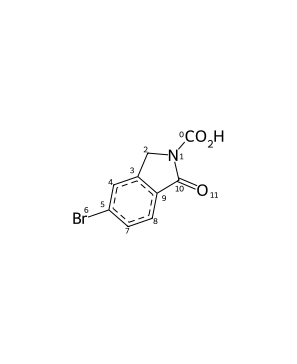 O=C(O)N1Cc2cc(Br)ccc2C1=O